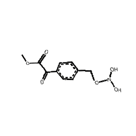 COC(=O)C(=O)c1ccc(CON(O)O)cc1